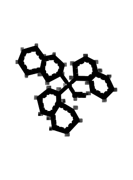 CO[Si](c1ccc2ccccc2c1)(c1cccc2ccccc12)c1cccc2ccccc12